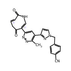 Cc1nnc(/C2=C/NC(=O)/C=C/CC2=O)cc1-c1ccn(Cc2ccc(C#N)cc2)n1